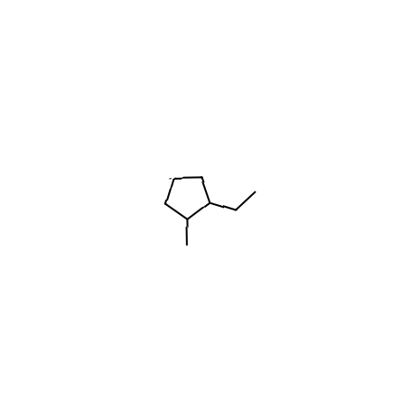 CCC1C[CH]CC1C